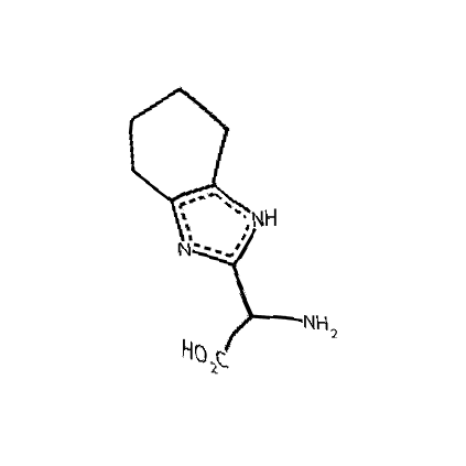 NC(C(=O)O)c1nc2c([nH]1)CCCC2